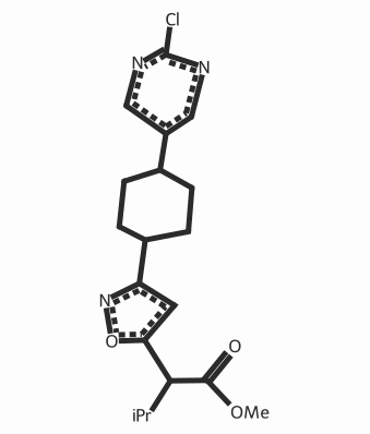 COC(=O)C(c1cc(C2CCC(c3cnc(Cl)nc3)CC2)no1)C(C)C